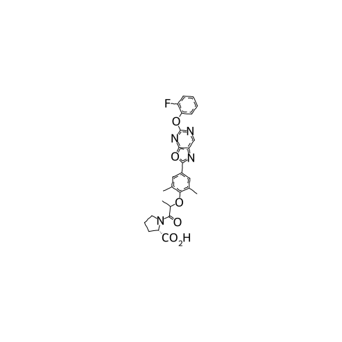 Cc1cc(-c2nc3cnc(Oc4ccccc4F)nc3o2)cc(C)c1OC(C)C(=O)N1CCC[C@H]1C(=O)O